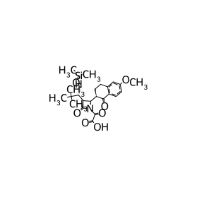 COc1ccc2c(c1)CC[C@H]([C@@H]1[C@H]([C@@H](CO[SiH](C)C)C(C)(C)C)C(=O)N1C(=O)C(=O)O)C2=O